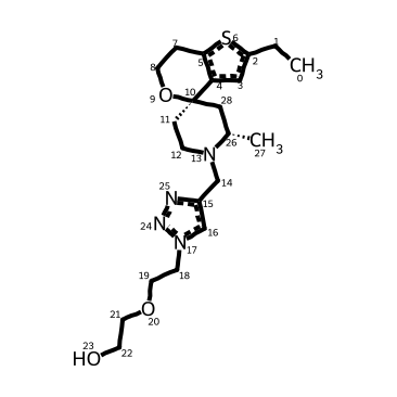 CCc1cc2c(s1)CCO[C@@]21CCN(Cc2cn(CCOCCO)nn2)[C@@H](C)C1